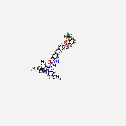 Cc1ccc(-n2nc(C(C)(C)C)cc2NC(=O)Nc2ccc(CC3CCN(S(=O)(=O)c4ccccc4OC(F)(F)F)CC3)cc2)cc1